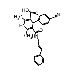 CC1=C(C(=O)O)C(c2ccc(C#N)cc2)C(C(=O)NCC=Cc2ccccc2)=C(C)N1